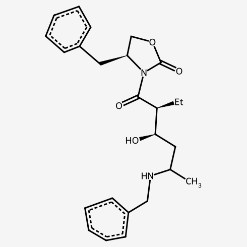 CC[C@H](C(=O)N1C(=O)OC[C@@H]1Cc1ccccc1)[C@H](O)CC(C)NCc1ccccc1